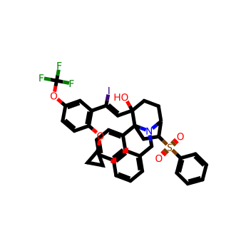 O=S(=O)(c1ccccc1)C1CC2(c3ccccc3)N(Cc3ccccc3)C1CCC2(O)/C=C(\I)c1cc(OC(F)(F)F)ccc1OC1CC1